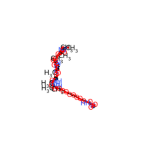 C/C=C1\CN2C(=O)c3cc(C)c(OCCCOc4cc5c(cc4OC)C(=O)N4Cc6cc(N(C)C(=O)OCc7ccc(NC(=O)[C@H](C)NC(=O)[C@@H](NC(=O)CCOCCOCCOCCOCCOCCOCCOCCOCCCNC(=O)CCN8C(=O)C=CC8=O)C(C)C)cc7)ccc6CC4C=N5)cc3N=C[C@]2(C)C1